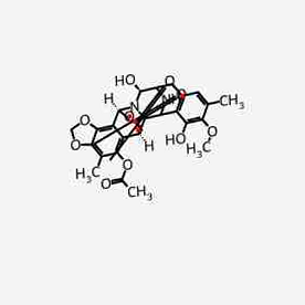 COc1c(C)cc2c(c1O)C1NC(C2)[C@H](O)N2C1[C@@H]1SCC(=O)C(=O)OC[C@H]2c2c3c(c(C)c(OC(C)=O)c21)OCO3